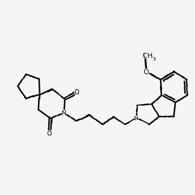 COc1cccc2c1C1CN(CCCCCN3C(=O)CC4(CCCC4)CC3=O)CC1C2